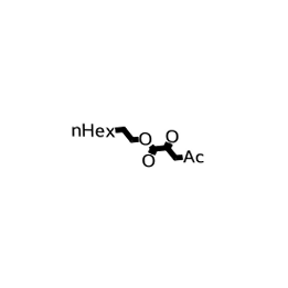 CCCCCCCCOC(=O)C(=O)CC(C)=O